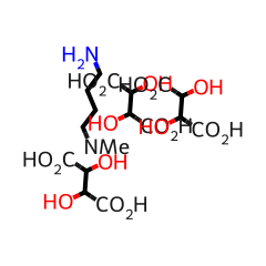 CNCCCCN.O=C(O)C(O)C(O)C(=O)O.O=C(O)C(O)C(O)C(=O)O.O=C(O)C(O)C(O)C(=O)O